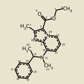 CCOC(=O)c1c(C)nc2c(N(C)C(C)c3ccccc3)cccn12